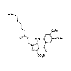 CCCCCCCCCCCCCCCC(=O)OCn1nc(C(=O)OCC)c(C(=O)c2cc(OC)c(OC)cc2[N+](=O)[O-])n1